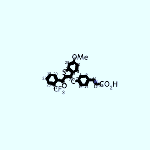 COc1ccc2c(Oc3ccc(/C=C/C(=O)O)cc3)c(C(=O)c3ccccc3C(F)(F)F)sc2c1